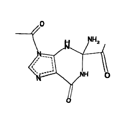 CC(=O)n1cnc2c1NC(N)(C(C)=O)NC2=O